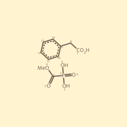 COC(=O)P(=O)(O)O.O=C(O)Cc1ccccc1